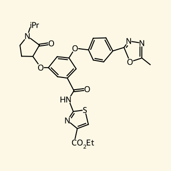 CCOC(=O)c1csc(NC(=O)c2cc(Oc3ccc(-c4nnc(C)o4)cc3)cc(OC3CCN(C(C)C)C3=O)c2)n1